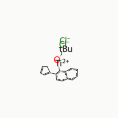 CC(C)(C)C[O][Ti+2][c]1c(C2=CC=CC2)ccc2ccccc12.[Cl-].[Cl-]